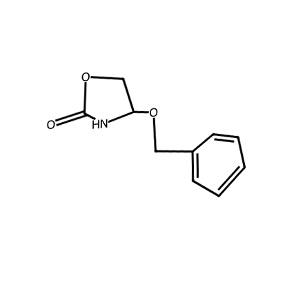 O=C1NC(OCc2ccccc2)CO1